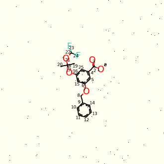 COC(=O)c1cc(OCc2ccccc2)cc(OC(C)(C)OC(F)F)c1